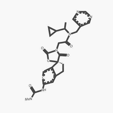 CNC(=O)Nc1ccc2c(c1)CC[C@@]21OC(=O)N(CC(=O)N(Cc2cncnc2)C(C)C2CC2)C1=O